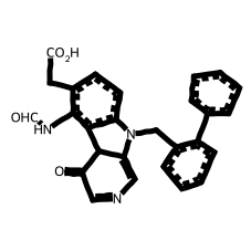 O=CNc1c(CC(=O)O)ccc2c1C1C(=O)C=NC=C1N2Cc1ccccc1-c1ccccc1